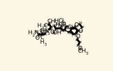 COCCCOc1cc(C[C@@H](C[C@H](N)[C@@H](O)C[C@H](C(=O)NCC(C)(C)C(N)=O)C(C)C)C(C)C)cc2c1OCCO2.Cl